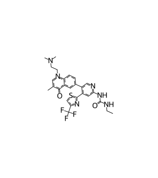 CCNC(=O)Nc1cc(-c2nc(C(F)(F)F)cs2)c(-c2ccc3c(c2)c(=O)c(C)cn3CCN(C)C)cn1